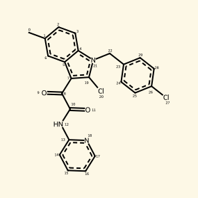 Cc1ccc2c(c1)c(C(=O)C(=O)Nc1ccccn1)c(Cl)n2Cc1ccc(Cl)cc1